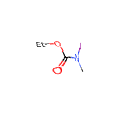 CCOC(=O)N(C)I